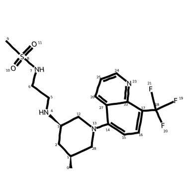 C[C@H]1C[C@@H](NCCNS(C)(=O)=O)CN(c2ccc(C(F)(F)F)c3ncccc23)C1